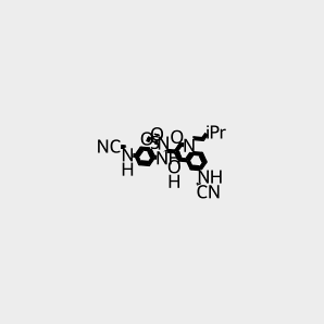 CC(C)CCn1c(=O)c(C2=NS(=O)(=O)c3cc(NCC#N)ccc3N2)c(O)c2cc(NCC#N)ccc21